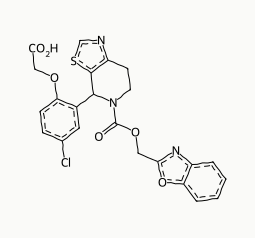 O=C(O)COc1ccc(Cl)cc1C1c2scnc2CCN1C(=O)OCc1nc2ccccc2o1